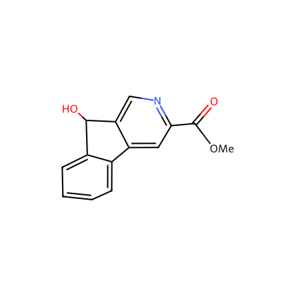 COC(=O)c1cc2c(cn1)C(O)c1ccccc1-2